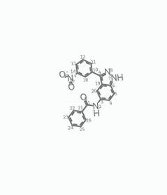 O=C(Nc1ccc2[nH]nc(-c3cccc([N+](=O)[O-])c3)c2c1)c1ccccc1